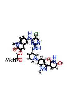 CNC(=O)COc1cc2cc(Nc3nc(NC[C@H]4CCCN(c5ccc6c(C7CCC(=O)NC7=O)nn(C)c6c5)C4)ncc3Cl)ccc2n(C)c1=O